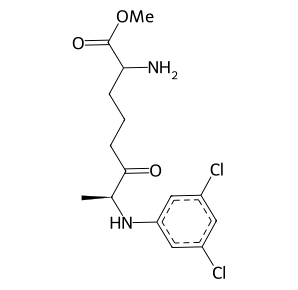 COC(=O)C(N)CCCC(=O)[C@H](C)Nc1cc(Cl)cc(Cl)c1